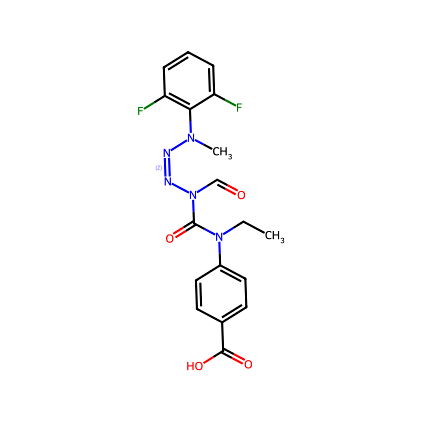 CCN(C(=O)N(C=O)/N=N\N(C)c1c(F)cccc1F)c1ccc(C(=O)O)cc1